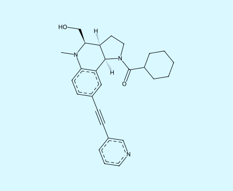 CN1c2ccc(C#Cc3cccnc3)cc2[C@H]2[C@H](CCN2C(=O)C2CCCCC2)[C@@H]1CO